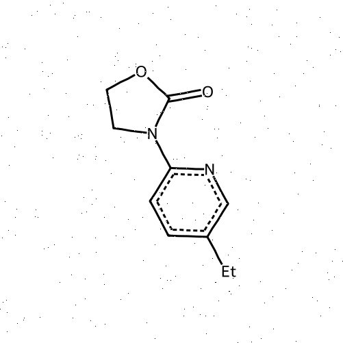 CCc1ccc(N2CCOC2=O)nc1